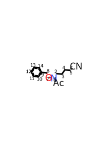 CC(=O)N(CCCCC#N)OCc1ccccc1